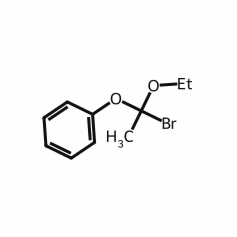 CCOC(C)(Br)Oc1ccccc1